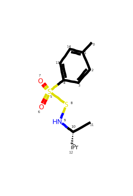 Cc1ccc(S(=O)(=O)SN[C@H](C)C(C)C)cc1